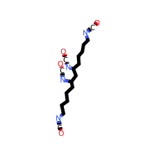 O=C=NCCCCCC(CC(CCCCCN=C=O)N=C=O)N=C=O